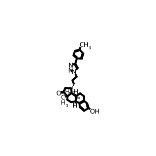 Cc1ccc(-c2cn(CCC[C@H]3CC(=O)[C@@]4(C)CC[C@@H]5c6ccc(O)cc6CC[C@H]5[C@H]34)nn2)cc1